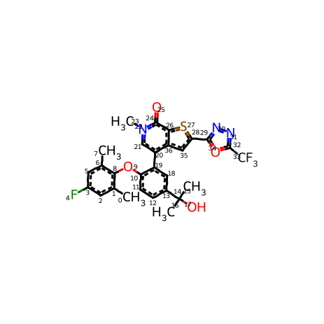 Cc1cc(F)cc(C)c1Oc1ccc(C(C)(C)O)cc1-c1cn(C)c(=O)c2sc(-c3nnc(C(F)(F)F)o3)cc12